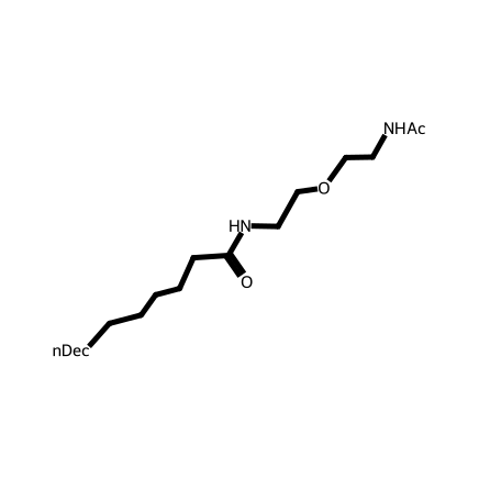 CCCCCCCCCCCCCCCC(=O)NCCOCCNC(C)=O